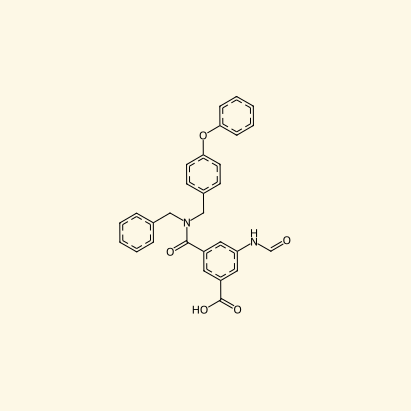 O=CNc1cc(C(=O)O)cc(C(=O)N(Cc2ccccc2)Cc2ccc(Oc3ccccc3)cc2)c1